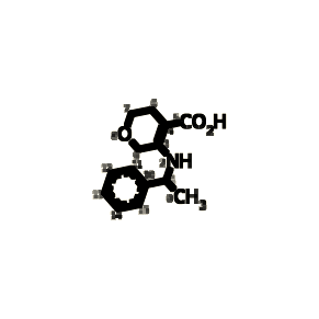 CC(NC1=C(C(=O)O)CCOC1)c1ccccc1